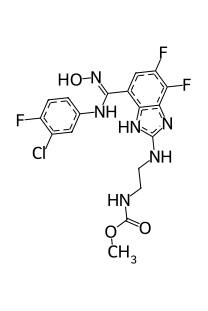 COC(=O)NCCNc1nc2c(F)c(F)cc(/C(=N/O)Nc3ccc(F)c(Cl)c3)c2[nH]1